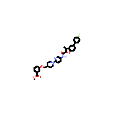 COC(=O)c1cccc(OCC2CCN(c3ccc(NC(=O)c4oc5ccc(-c6ccc(F)cc6)cc5c4C)cn3)CC2)c1